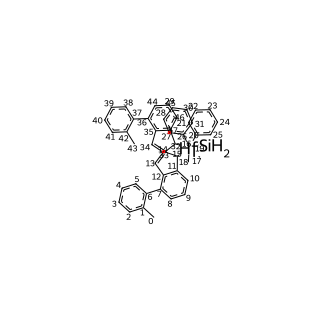 Cc1ccccc1-c1cccc2c1C=C[CH]2[Hf]([CH3])([CH3])(=[SiH2])([c]1ccccc1)([c]1ccccc1)[CH]1C=Cc2c(-c3ccccc3C)cccc21